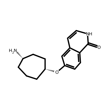 N[C@H]1CCC[C@@H](Oc2ccc3c(=O)[nH]ccc3c2)CC1